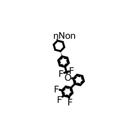 CCCCCCCCC[C@H]1CC[C@H](c2ccc(C(F)(F)Oc3ccccc3-c3cc(F)c(F)c(F)c3)cc2)CC1